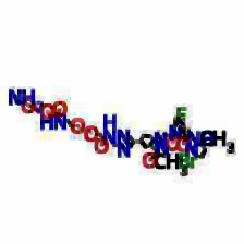 CC(=O)c1nn(CC(=O)N2C[C@H](F)C[C@H]2C(=O)Nc2nc(Br)ccc2C)c2ccc(-c3cnc(CNC(=O)COCCOCCNC(=O)COCCOCCN)nc3)cc12